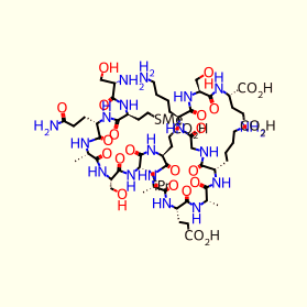 CSCC[C@H](NC(=O)[C@@H](N)CO)C(=O)N[C@@H](CCC(N)=O)C(=O)N[C@@H](C)C(=O)N[C@@H](CO)C(=O)N[C@@H](CC(C)C)C(=O)N[C@@H](CCC(=O)O)C(=O)N[C@@H](C)C(=O)N[C@@H](CCC(=O)O)C(=O)N[C@@H](C)C(=O)N[C@@H](CCCCN)C(=O)NCC(=O)N[C@@H](CCCCN)C(=O)N[C@@H](CO)C(=O)N[C@@H](CCC(=O)O)C(=O)O